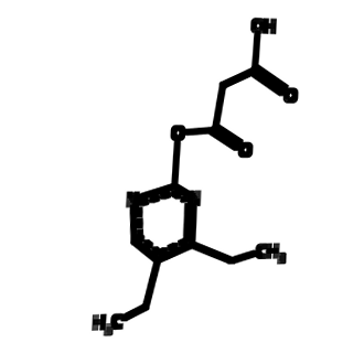 CCc1cnc(OC(=O)CC(=O)O)nc1CC